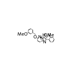 COc1cccc(COc2ccc3nc(-c4ccccc4N)c(OC)n3n2)c1